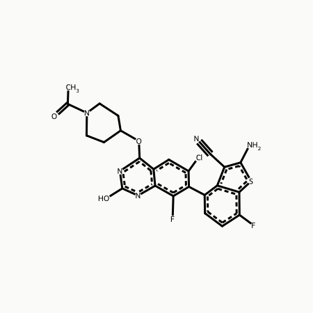 CC(=O)N1CCC(Oc2nc(O)nc3c(F)c(-c4ccc(F)c5sc(N)c(C#N)c45)c(Cl)cc23)CC1